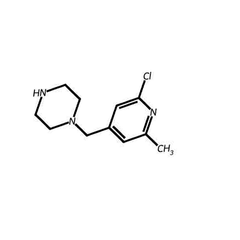 Cc1cc(CN2CCNCC2)cc(Cl)n1